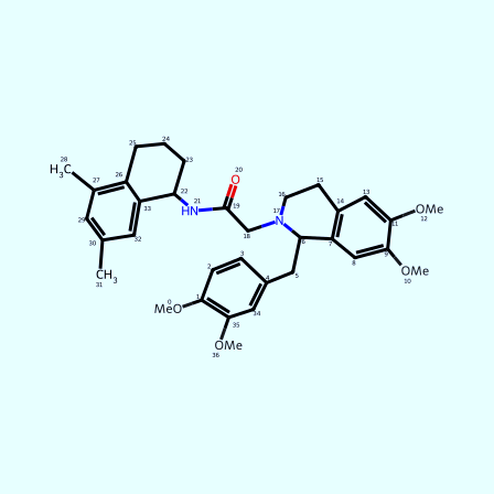 COc1ccc(CC2c3cc(OC)c(OC)cc3CCN2CC(=O)NC2CCCc3c(C)cc(C)cc32)cc1OC